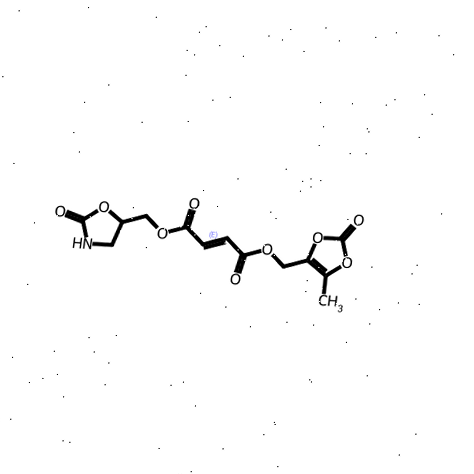 Cc1oc(=O)oc1COC(=O)/C=C/C(=O)OCC1CNC(=O)O1